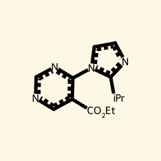 CCOC(=O)c1cncnc1-n1ccnc1C(C)C